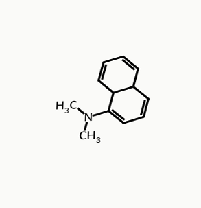 CN(C)C1=CC=CC2C=CC=CC12